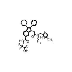 Cc1cnc(CN(C)C(=O)Cn2c(-c3ccccc3)c(C3CCCCC3)c3ccc(C(=O)O)cc32)[nH]1.O=C(O)C(F)(F)F